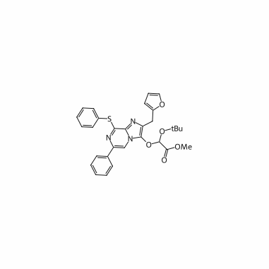 COC(=O)C(Oc1c(Cc2ccco2)nc2c(Sc3ccccc3)nc(-c3ccccc3)cn12)OC(C)(C)C